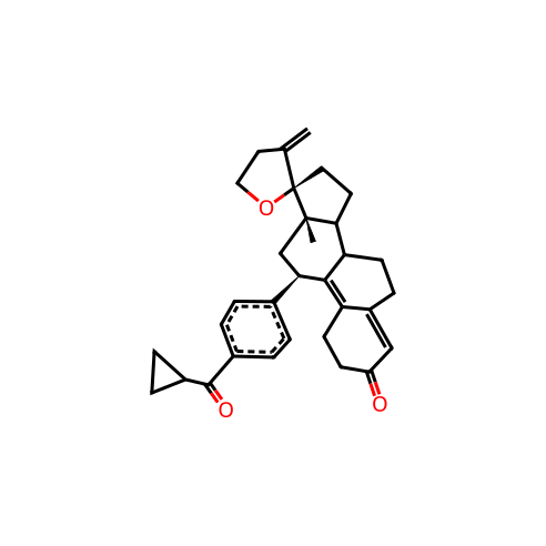 C=C1CCO[C@]12CCC1C3CCC4=CC(=O)CCC4=C3[C@@H](c3ccc(C(=O)C4CC4)cc3)C[C@@]12C